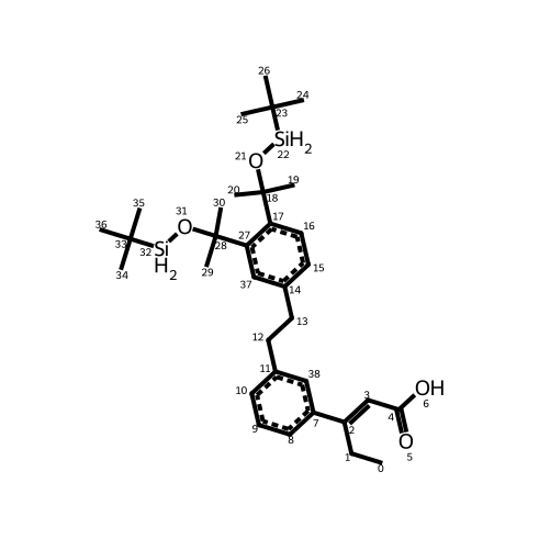 CCC(=CC(=O)O)c1cccc(CCc2ccc(C(C)(C)O[SiH2]C(C)(C)C)c(C(C)(C)O[SiH2]C(C)(C)C)c2)c1